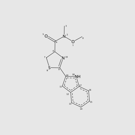 CON(C)C(=O)C1CSC(c2cc3ccccc3[nH]2)=N1